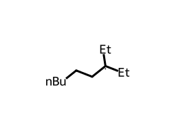 [CH2]CCCCC[C](CC)CC